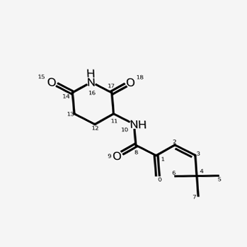 C=C(/C=C\C(C)(C)C)C(=O)NC1CCC(=O)NC1=O